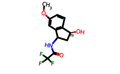 COc1ccc2c(c1)C(NC(=O)C(F)(F)F)C[C@@H]2O